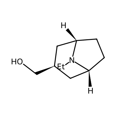 CCN1[C@@H]2CC[C@H]1C[C@H](CO)C2